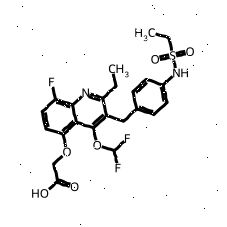 CCc1nc2c(F)ccc(OCC(=O)O)c2c(OC(F)F)c1Cc1ccc(NS(=O)(=O)CC)cc1